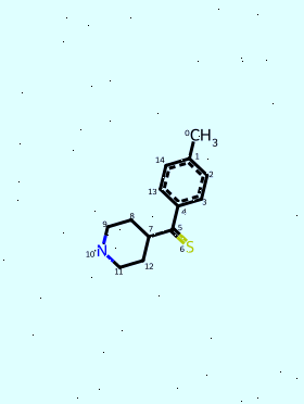 Cc1ccc(C(=S)C2CC[N]CC2)cc1